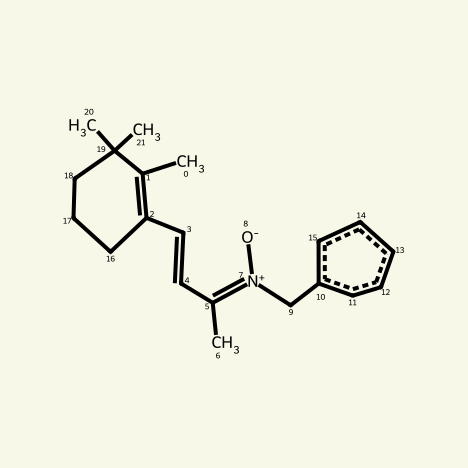 CC1=C(/C=C/C(C)=[N+]([O-])Cc2ccccc2)CCCC1(C)C